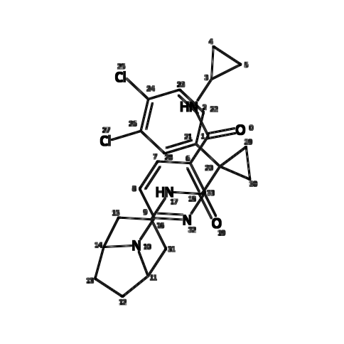 O=C(NC1CC1)c1ccc(N2C3CCC2CC(NC(=O)C2(c4ccc(Cl)c(Cl)c4)CC2)C3)nc1